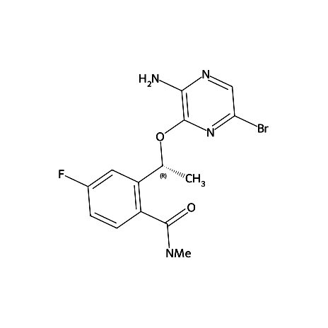 CNC(=O)c1ccc(F)cc1[C@@H](C)Oc1nc(Br)cnc1N